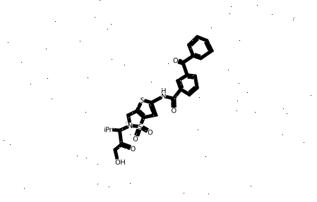 CC(C)C(C(=O)CO)N1Cc2sc(NC(=O)c3cccc(C(=O)c4ccccc4)c3)cc2S1(=O)=O